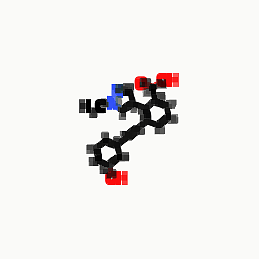 Cn1cc(-c2c(C#Cc3cccc(O)c3)cccc2C(=O)O)cn1